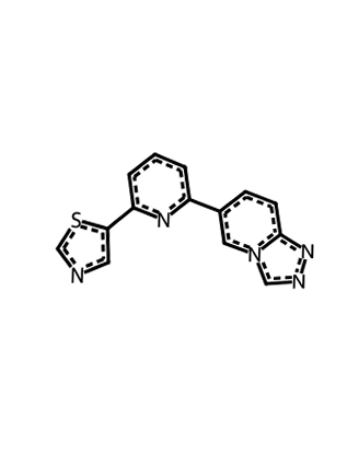 c1cc(-c2ccc3nncn3c2)nc(-c2cncs2)c1